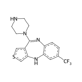 FC(F)(F)c1ccc2c(c1)Nc1cscc1C(N1CCNCC1)=N2